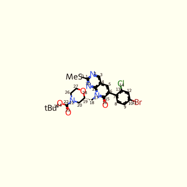 CSc1ncc2cc(-c3ccc(Br)cc3Cl)c(=O)n(C[C@@H]3CN(C(=O)OC(C)(C)C)CCO3)c2n1